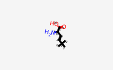 CC(C)(C)/C=C/C(N)C(=O)O